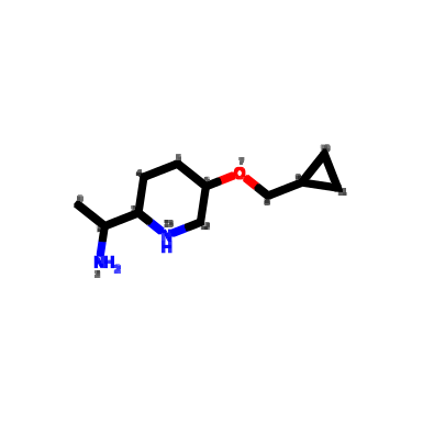 CC(N)C1CCC(OCC2CC2)CN1